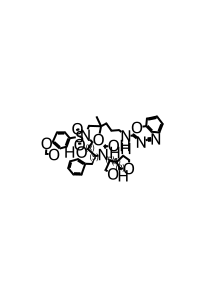 CC(C)(CCCNC(=NC#N)Oc1ccccc1)CN(C[C@@H](O)[C@H](Cc1ccccc1)N(C(=O)O)[C@H]1CO[C@H]2OCC[C@H]21)S(=O)(=O)c1ccc2c(c1)OCO2